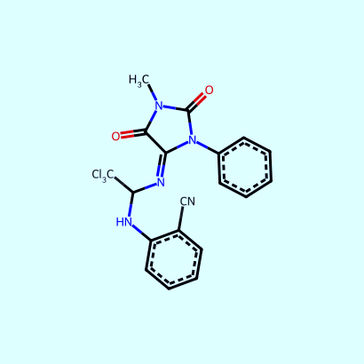 CN1C(=O)C(=NC(Nc2ccccc2C#N)C(Cl)(Cl)Cl)N(c2ccccc2)C1=O